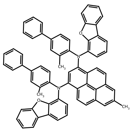 Cc1cc2ccc3c(N(c4ccc(-c5ccccc5)cc4C)c4cccc5c4oc4ccccc45)cc(N(c4ccc(-c5ccccc5)cc4C)c4cccc5c4oc4ccccc45)c4ccc(c1)c2c34